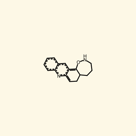 C1=c2nc3ccccc3cc2=C2ONCCCC2C1